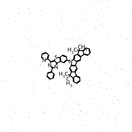 CC1(C)c2ccccc2-c2cc3c4cc5c(cc4n(-c4ccc6sc7c(-c8ccccn8)nc(-c8ccccc8)nc7c6c4)c3cc21)C(C)(C)c1ccccc1-5